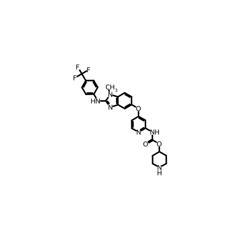 Cn1c(Nc2ccc(C(F)(F)F)cc2)nc2cc(Oc3ccnc(NC(=O)OC4CCNCC4)c3)ccc21